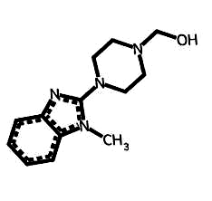 Cn1c(N2CCN(CO)CC2)nc2ccccc21